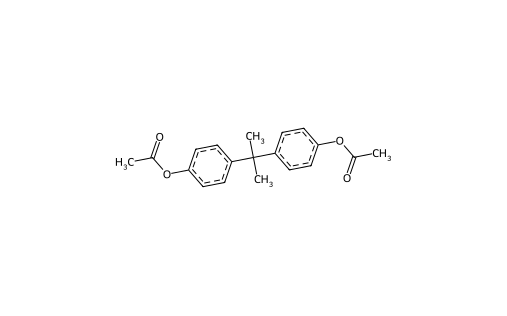 CC(=O)Oc1ccc(C(C)(C)c2ccc(OC(C)=O)cc2)cc1